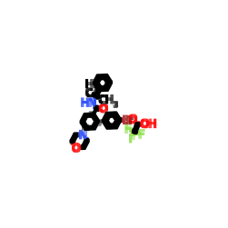 CC(C)(NC(=O)[C@@H]1CC[C@@H](N2CCOCC2)C[C@H]1c1ccc(Br)cc1)c1ccccc1.O=C(O)C(F)(F)F